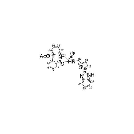 CC(=O)OC1c2ccccc2C(=O)N(CCC(=O)NCc2ccc(-c3nc4ccccc4[nH]3)s2)c2ccccc21